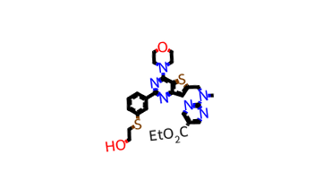 CCOC(=O)c1cnc(N(C)Cc2cc3nc(-c4cccc(SCCO)c4)nc(N4CCOCC4)c3s2)nc1